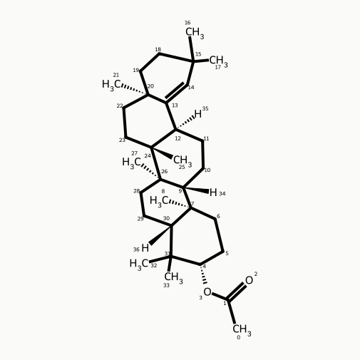 CC(=O)O[C@H]1CC[C@]2(C)[C@H]3CC[C@@H]4C5=CC(C)(C)CC[C@]5(C)CC[C@@]4(C)[C@]3(C)CC[C@H]2C1(C)C